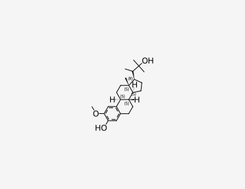 COc1cc2c(cc1O)CC[C@@H]1[C@@H]2CC[C@]2(C)[C@@H](C(C)C(C)(C)O)CC[C@@H]12